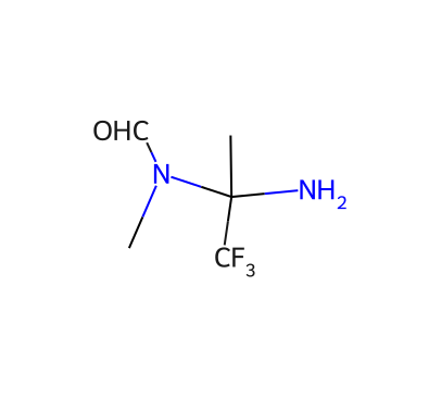 CN(C=O)C(C)(N)C(F)(F)F